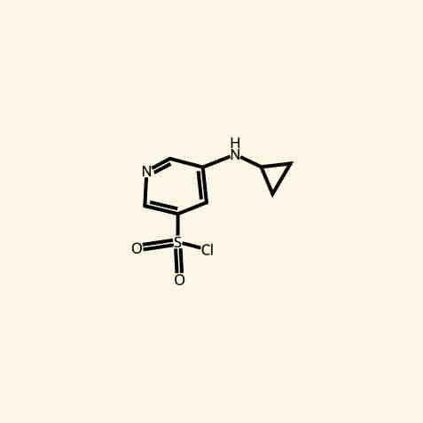 O=S(=O)(Cl)c1cncc(NC2CC2)c1